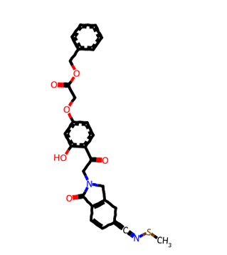 CSN=C=C1C=CC2=C(C1)CN(CC(=O)c1ccc(OCC(=O)OCc3ccccc3)cc1O)C2=O